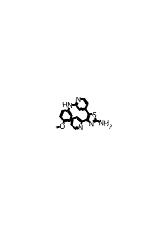 COc1ccc(Nc2cc(-c3sc(N)nc3-c3ccccn3)ccn2)cc1